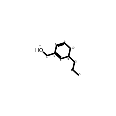 CCCC1C=C(CO)C=CC1